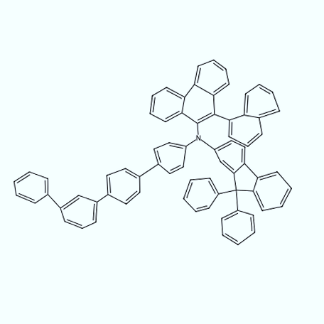 c1ccc(-c2cccc(-c3ccc(-c4ccc(N(c5ccc6c(c5)C(c5ccccc5)(c5ccccc5)c5ccccc5-6)c5c(-c6cccc7ccccc67)c6ccccc6c6ccccc56)cc4)cc3)c2)cc1